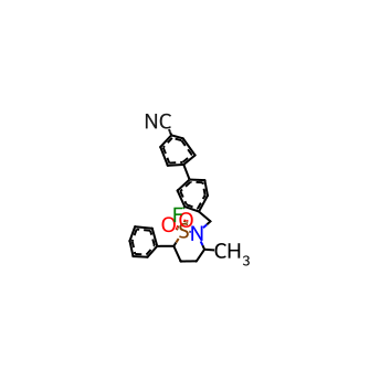 CC1CCC(c2ccccc2)S(=O)(=O)N1Cc1ccc(-c2ccc(C#N)cc2)cc1F